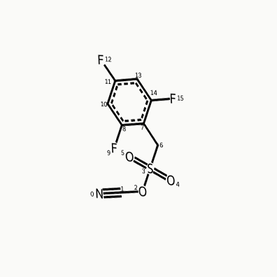 N#COS(=O)(=O)Cc1c(F)cc(F)cc1F